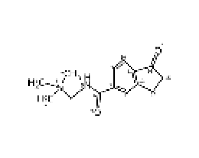 C[Si](C)(C)CNC(=O)c1ccc2c(c1)CCC2=O